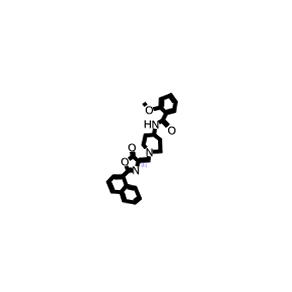 COc1ccccc1C(=O)NC1CCN(/C=C2/N=C(c3cccc4ccccc34)OC2=O)CC1